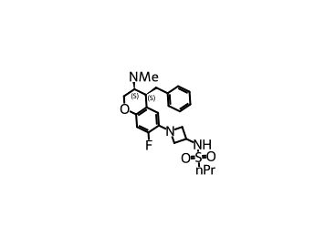 CCCS(=O)(=O)NC1CN(c2cc3c(cc2F)OC[C@@H](NC)[C@H]3Cc2ccccc2)C1